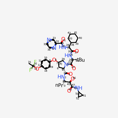 CCC[C@H](NC(=O)[C@@H]1C[C@@H](Oc2ccc(OC(C)(F)F)cc2)CN1C(=O)[C@@H](NC(=O)[C@@H](NC(=O)c1cnccn1)C1CCCCC1)C(C)(C)C)C(=O)C(=O)NC1CC1